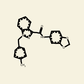 Cc1ccc(Cn2nc(C(=O)Nc3ccc4c(c3)OCO4)c3ccccc32)cc1